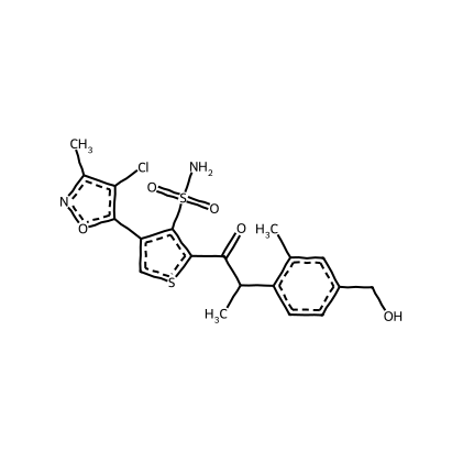 Cc1cc(CO)ccc1C(C)C(=O)c1scc(-c2onc(C)c2Cl)c1S(N)(=O)=O